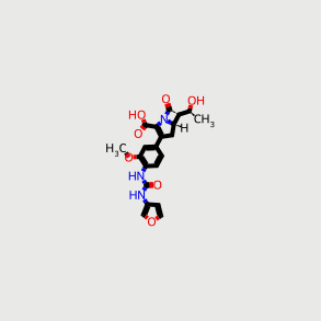 COc1cc(C2=C(C(=O)O)N3C(=O)[C@H]([C@@H](C)O)[C@H]3C2)ccc1NC(=O)Nc1ccoc1